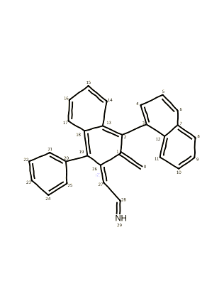 C=c1c(-c2cccc3ccccc23)c2ccccc2c(-c2ccccc2)/c1=C/C=N